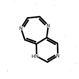 C1=NC=C2NC=NC=C2N=C1